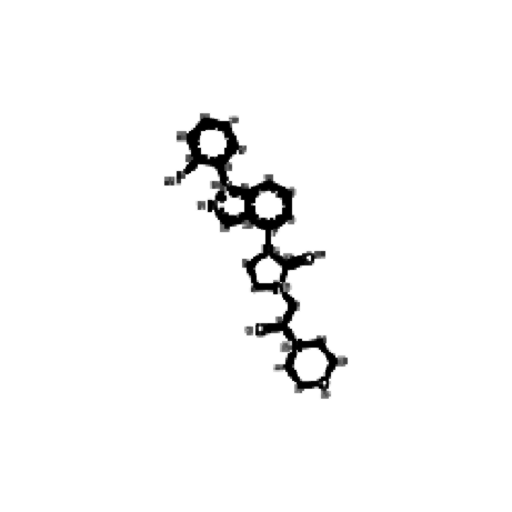 O=C(CN1CCN(c2cccc3c2cnn3-c2ccccc2F)C1=O)N1CCOCC1